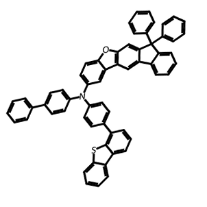 c1ccc(-c2ccc(N(c3ccc(-c4cccc5c4sc4ccccc45)cc3)c3ccc4oc5cc6c(cc5c4c3)-c3ccccc3C6(c3ccccc3)c3ccccc3)cc2)cc1